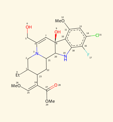 CCC1CN2C(CO)=C[C@]3(O)c4c(OC)cc(Cl)c(F)c4NC3C2CC1/C(=C\OC)C(=O)OC